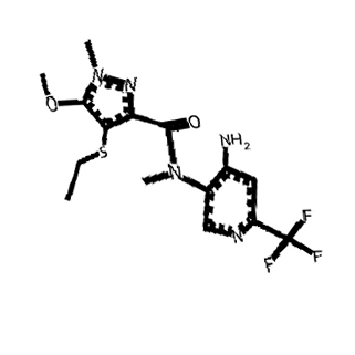 CCSc1c(C(=O)N(C)c2cnc(C(F)(F)F)cc2N)nn(C)c1OC